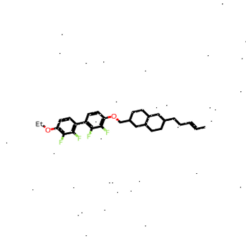 C/C=C/CCC1CCC2CC(COc3ccc(-c4ccc(OCC)c(F)c4F)c(F)c3F)CCC2C1